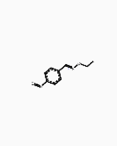 CCO/N=C/c1ccc(N=O)cc1